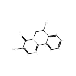 CCC1Cn2c(ncc(C#N)c2=O)-c2ccccc21